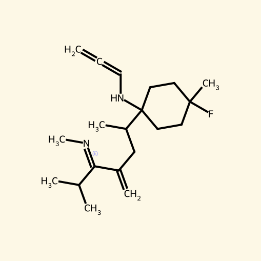 C=C=CNC1(C(C)CC(=C)/C(=N/C)C(C)C)CCC(C)(F)CC1